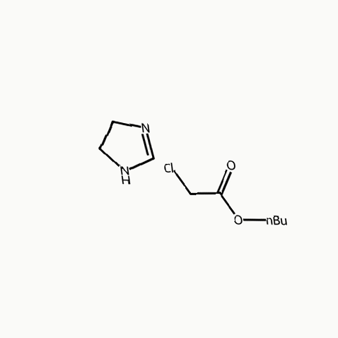 C1=NCCN1.CCCCOC(=O)CCl